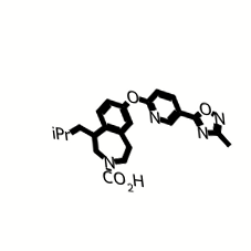 Cc1noc(-c2ccc(Oc3ccc4c(c3)CCN(C(=O)O)CC4CC(C)C)nc2)n1